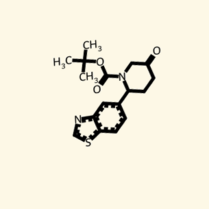 CC(C)(C)OC(=O)N1CC(=O)CCC1c1ccc2scnc2c1